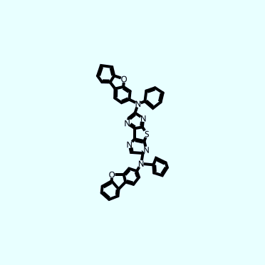 c1ccc(N(c2ccc3c(c2)oc2ccccc23)c2cnc3c(n2)sc2nc(N(c4ccccc4)c4ccc5c(c4)oc4ccccc45)cnc23)cc1